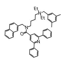 CC[N+](CC)(CCCCN(Cc1ccc2ccccc2c1)C(=O)c1cc(-c2ccccc2)nc(-c2ccccc2)c1)Cc1cc(C)cc(C)c1